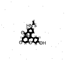 CC(=S)Nc1ccc(C2=C3C=CC(=O)C=C3OC3C=C(O)C=CC23)c(C(=O)O)c1